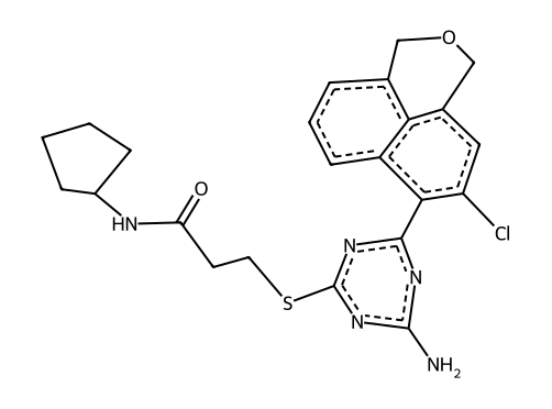 Nc1nc(SCCC(=O)NC2CCCC2)nc(-c2c(Cl)cc3c4c(cccc24)COC3)n1